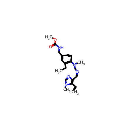 C=Cc1c(/C=N\CN(C)c2ccc(CNC(=O)OC)cc2CC)ncn1C